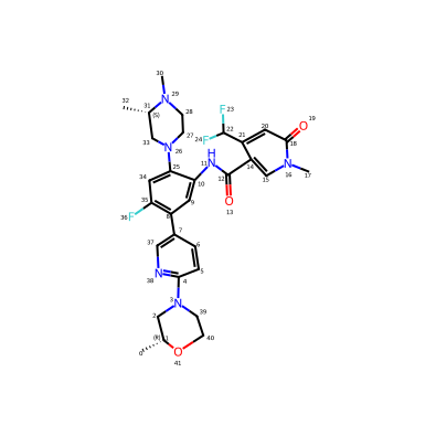 C[C@@H]1CN(c2ccc(-c3cc(NC(=O)c4cn(C)c(=O)cc4C(F)F)c(N4CCN(C)[C@@H](C)C4)cc3F)cn2)CCO1